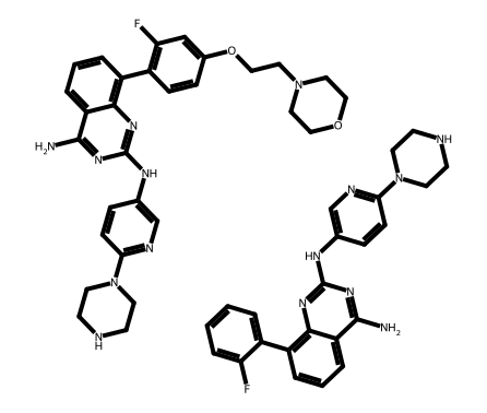 Nc1nc(Nc2ccc(N3CCNCC3)nc2)nc2c(-c3ccc(OCCN4CCOCC4)cc3F)cccc12.Nc1nc(Nc2ccc(N3CCNCC3)nc2)nc2c(-c3ccccc3F)cccc12